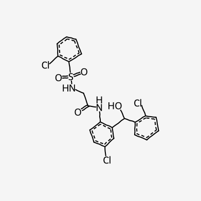 O=C(CNS(=O)(=O)c1ccccc1Cl)Nc1ccc(Cl)cc1C(O)c1ccccc1Cl